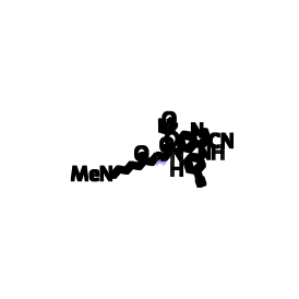 C#Cc1cccc(Nc2c(C#N)cnc3cc(OC4CCOC4)c(NC(=O)/C=C/CC(=O)CCCCCNC)cc23)c1